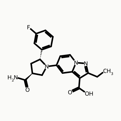 CCc1nn2ccc(N3C[C@@H](C(N)=O)C[C@@H]3c3cccc(F)c3)cc2c1C(=O)O